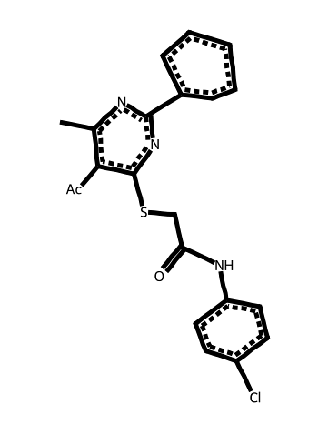 CC(=O)c1c(C)nc(-c2ccccc2)nc1SCC(=O)Nc1ccc(Cl)cc1